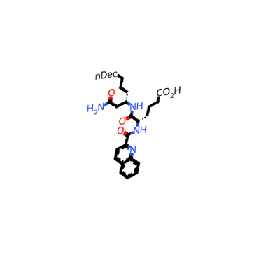 CCCCCCCCCCCCC[C@@H](CC(N)=O)NC(=O)[C@H](CCCC(=O)O)NC(=O)c1ccc2ccccc2n1